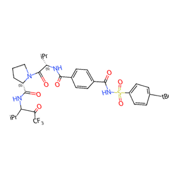 CC(C)C(NC(=O)[C@@H]1CCCN1C(=O)[C@@H](NC(=O)c1ccc(C(=O)NS(=O)(=O)c2ccc(C(C)(C)C)cc2)cc1)C(C)C)C(=O)C(F)(F)F